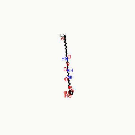 CCC(=O)CCCCCCCCCCC(=O)NCCOCCC(=O)NCCCNC(=O)CCCCOC[C@H]1OCC[C@@H](O)[C@H]1O